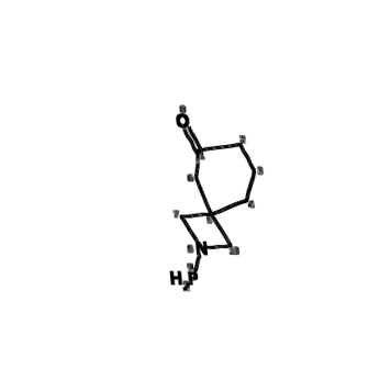 O=C1CCCC2(C1)CN(P)C2